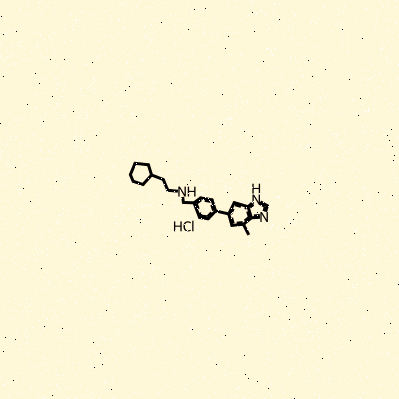 Cc1cc(-c2ccc(CNCCC3CCCCC3)cc2)cc2[nH]cnc12.Cl